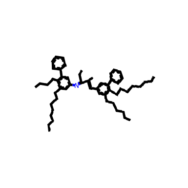 CCCCCCCCc1cc(N=C(CC)C(C)=Cc2cc(CCCCCC)c(CCCCCCCC)c(-c3ccccc3)c2)cc(-c2ccccc2)c1CCCC